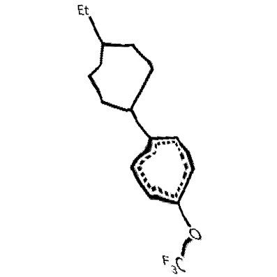 CCC1CCC(c2ccc(OC(F)(F)F)cc2)CC1